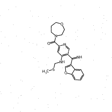 CSCNc1cc(C(=O)N2CCCOCC2)ncc1C(=N)c1coc2ccccc12